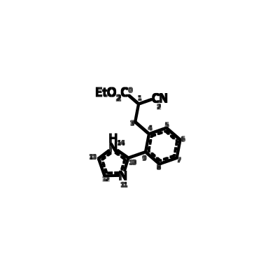 CCOC(=O)C(C#N)Cc1ccccc1-c1ncc[nH]1